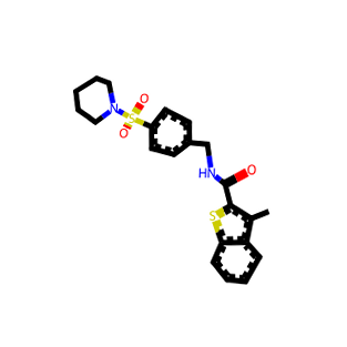 Cc1c(C(=O)NCc2ccc(S(=O)(=O)N3CCCCC3)cc2)sc2ccccc12